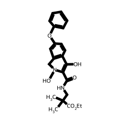 CCOC(=O)C(C)(C)CNC(=O)C1=C(O)c2ccc(Oc3ccccc3)cc2CN1O